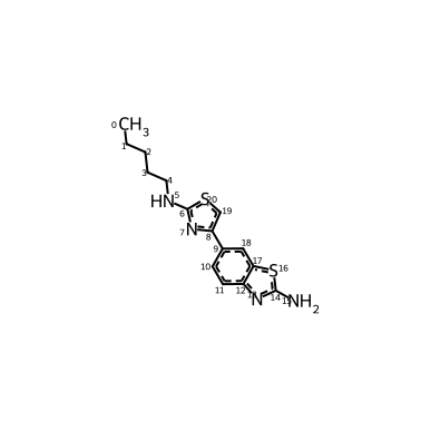 CCCCCNc1nc(-c2ccc3nc(N)sc3c2)cs1